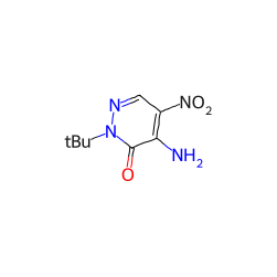 CC(C)(C)n1ncc([N+](=O)[O-])c(N)c1=O